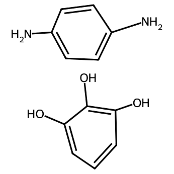 Nc1ccc(N)cc1.Oc1cccc(O)c1O